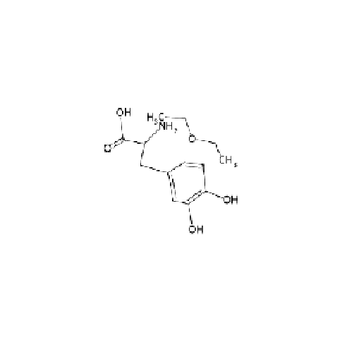 CCOCC.NC(Cc1ccc(O)c(O)c1)C(=O)O